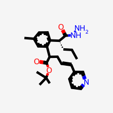 CCC[C@@H](C(=O)NN)c1ccc(C)cc1C(C/C=C/c1cccnc1)C(=O)OC(C)(C)C